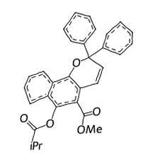 COC(=O)c1c2c(c3ccccc3c1OC(=O)C(C)C)OC(c1ccccc1)(c1ccccc1)C=C2